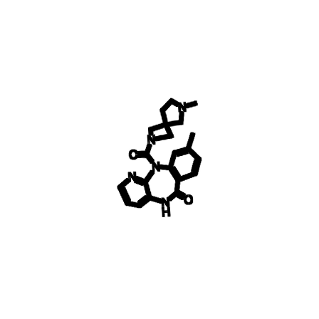 Cc1ccc2c(c1)N(C(=O)N1CC3(CCN(C)C3)C1)c1ncccc1NC2=O